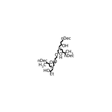 CCCCCCCCCCCCC(O)CN(CCOCCOCCN(CC(O)CC)CC(O)C(C)CCCCCCCCCC)CC(O)C(C)CCCCCCCCCC